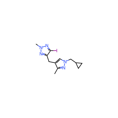 Cc1nn(CC2CC2)cc1Cc1nn(C)nc1I